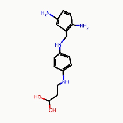 Nc1ccc(N)c(CNc2ccc(NCCC(O)O)cc2)c1